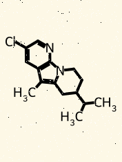 Cc1c2n(c3ncc(Cl)cc13)CCC(C(C)C)C2